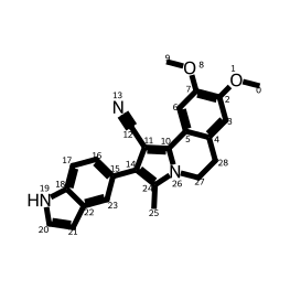 COc1cc2c(cc1OC)-c1c(C#N)c(-c3ccc4[nH]ccc4c3)c(C)n1CC2